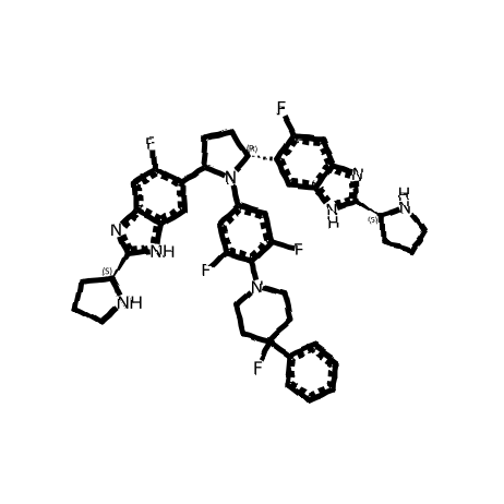 Fc1cc2nc([C@@H]3CCCN3)[nH]c2cc1C1CC[C@H](c2cc3[nH]c([C@@H]4CCCN4)nc3cc2F)N1c1cc(F)c(N2CCC(F)(c3ccccc3)CC2)c(F)c1